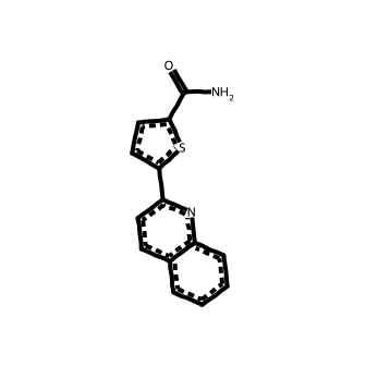 NC(=O)c1ccc(-c2ccc3ccccc3n2)s1